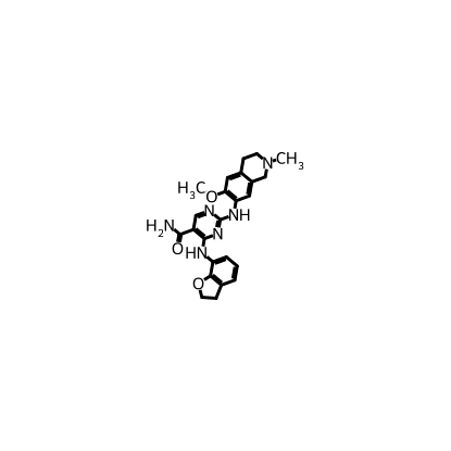 COc1cc2c(cc1Nc1ncc(C(N)=O)c(Nc3cccc4c3OCC4)n1)CN(C)CC2